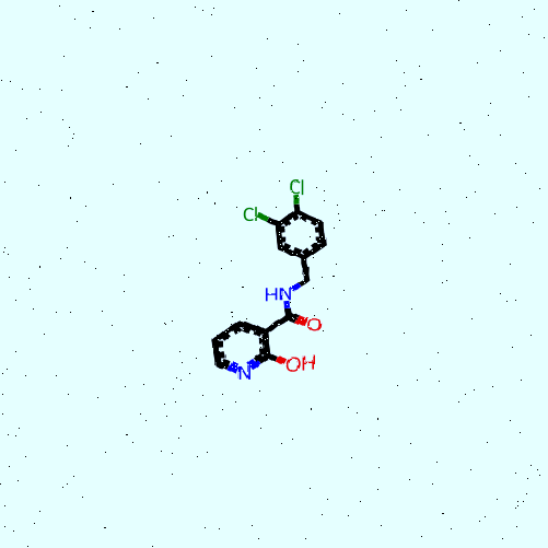 O=C(NCc1ccc(Cl)c(Cl)c1)c1cccnc1O